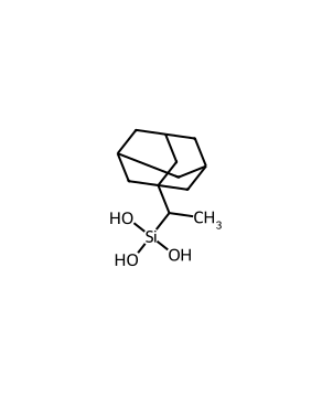 CC(C12CC3CC(CC(C3)C1)C2)[Si](O)(O)O